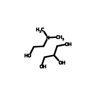 CN(C)CCO.OCC(O)CO